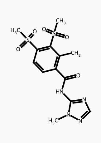 Cc1c(C(=O)Nc2ncnn2C)ccc(S(C)(=O)=O)c1S(C)(=O)=O